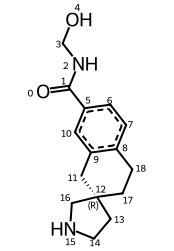 O=C(NCO)c1ccc2c(c1)C[C@@]1(CCNC1)CC2